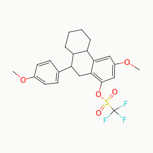 COc1ccc(C2Cc3c(OS(=O)(=O)C(F)(F)F)cc(OC)cc3C3CCCCC23)cc1